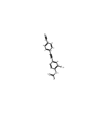 CC(=O)Oc1ccc(C#Cc2ccc(C#N)cc2)cc1F